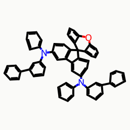 c1ccc(-c2cccc(N(c3ccccc3)c3ccc4c(c3)-c3cc(N(c5ccccc5)c5cccc(-c6ccccc6)c5)ccc3C43c4ccccc4Oc4ccccc43)c2)cc1